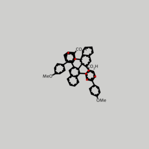 COc1ccc(-c2ccc(C(=O)O)c(-c3c(-c4c(-c5ccccc5)cc5ccccc5c4-c4cc(-c5ccc(OC)cc5)ccc4C(=O)O)c(-c4ccccc4)cc4ccccc34)c2)cc1